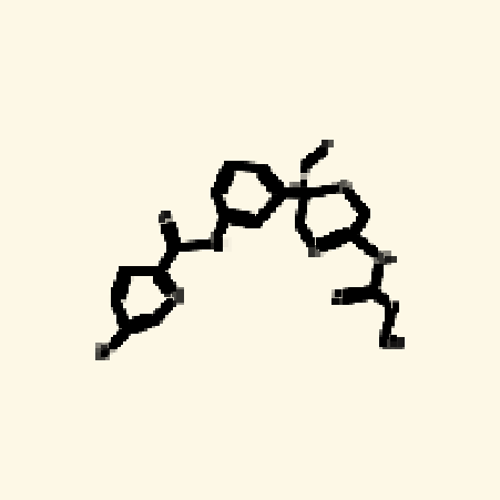 CC(C)(C)OC(=O)NC1=NC[C@@](CF)(c2cccc(NC(=O)c3ccc(Br)cn3)c2)OC1